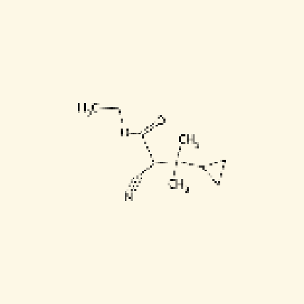 CCOC(=O)C(C#N)C(C)(C)C1CC1